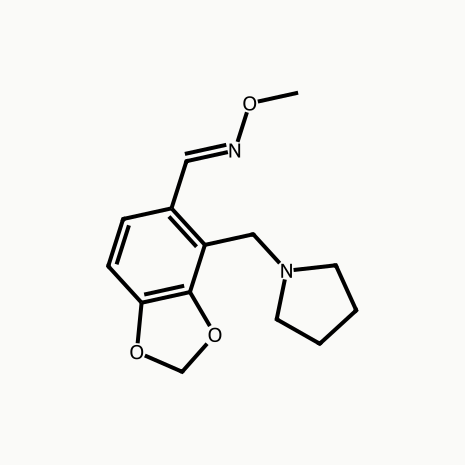 CON=Cc1ccc2c(c1CN1CCCC1)OCO2